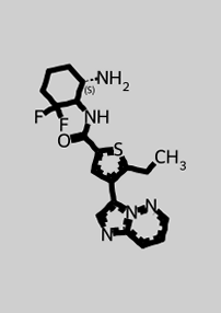 CCc1sc(C(=O)NC2[C@@H](N)CCCC2(F)F)cc1-c1cnc2cccnn12